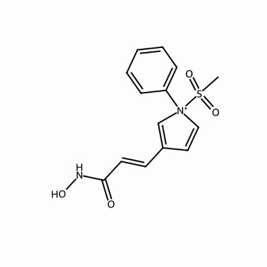 CS(=O)(=O)[N+]1(c2ccccc2)C=CC(C=CC(=O)NO)=C1